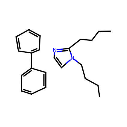 CCCCc1nccn1CCCC.c1ccc(-c2ccccc2)cc1